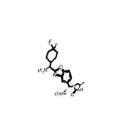 COC[C@H](c1ccc2oc([C@@H](N)C3CCC(F)(F)CC3)nc2c1)N1C[C@@H](C)NC1=O